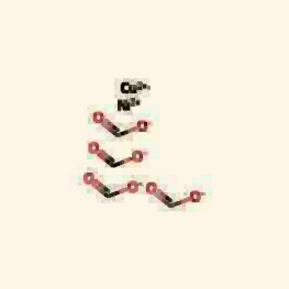 O=C[O-].O=C[O-].O=C[O-].O=C[O-].[Cu+2].[Ni+2]